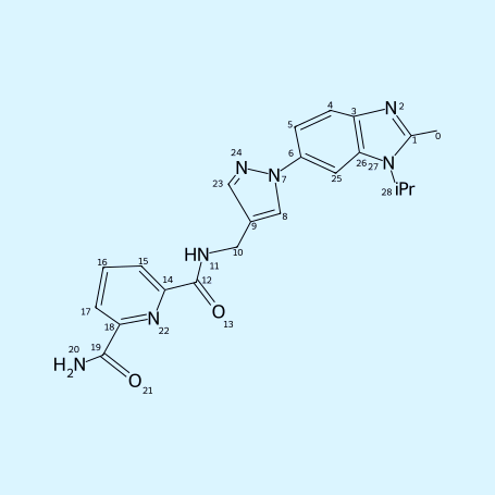 Cc1nc2ccc(-n3cc(CNC(=O)c4cccc(C(N)=O)n4)cn3)cc2n1C(C)C